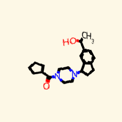 CC(O)c1ccc2c(c1)C(N1CCN(C(=O)C3CCCC3)CC1)CC2